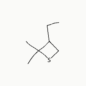 CCC1CSC1(C)C